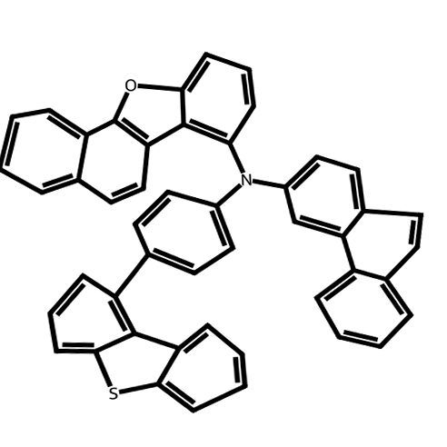 c1ccc2c(c1)ccc1ccc(N(c3ccc(-c4cccc5sc6ccccc6c45)cc3)c3cccc4oc5c6ccccc6ccc5c34)cc12